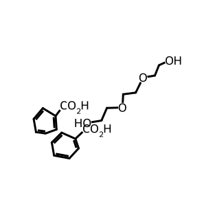 O=C(O)c1ccccc1.O=C(O)c1ccccc1.OCCOCCOCCO